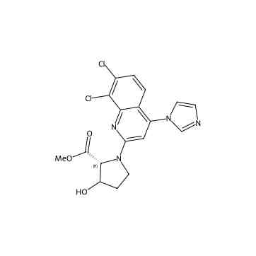 COC(=O)[C@H]1C(O)CCN1c1cc(-n2ccnc2)c2ccc(Cl)c(Cl)c2n1